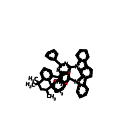 CC1CC(C)(C)c2cccc(-c3ccc(-n4c5ccccc5c5ccc6c7ccccc7n(-c7nc(-c8ccccc8)nc(-c8ccccc8)n7)c6c54)cc3)c2C1(C)C